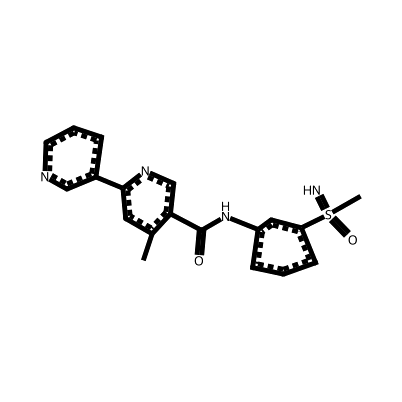 Cc1cc(-c2cccnc2)ncc1C(=O)Nc1cccc(S(C)(=N)=O)c1